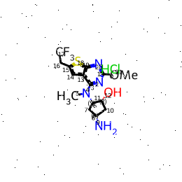 COc1nc(N(C)[C@H]2C[C@@H](N)C[C@H]2O)c2cc(CC(F)(F)F)sc2n1.Cl